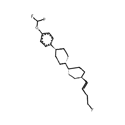 FCCC=C[C@H]1CC[C@H]([C@H]2CC[C@H](c3ccc(OC(F)F)cc3)CC2)CC1